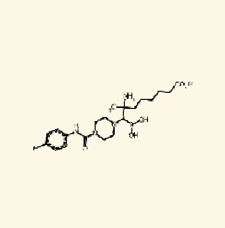 CC(N)(CCCCCC(=O)O)C(B(O)O)N1CCN(C(=O)Nc2ccc(F)cc2)CC1